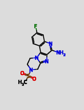 CS(=O)(=O)N1CCn2c(nc3c(N)nc4cc(F)ccc4c32)C1